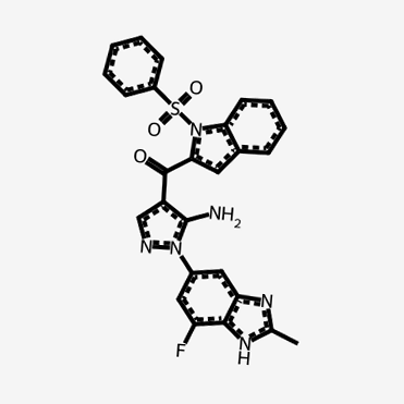 Cc1nc2cc(-n3ncc(C(=O)c4cc5ccccc5n4S(=O)(=O)c4ccccc4)c3N)cc(F)c2[nH]1